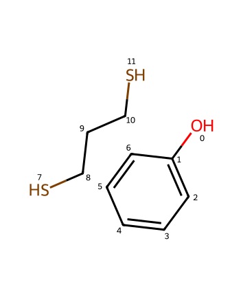 Oc1ccccc1.SCCCS